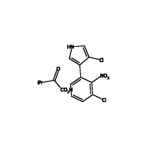 CC(C)C(=O)C(=O)O.O=[N+]([O-])c1c(Cl)cccc1-c1c[nH]cc1Cl